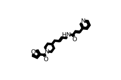 O=C(/C=C/c1cccnc1)NC/C=C/CC1CCN(C(=O)c2ccoc2)CC1